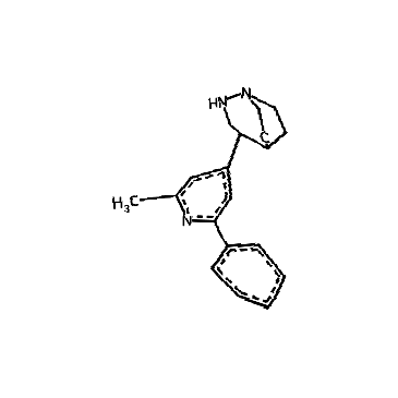 Cc1cc(C2CNN3CCC2CC3)cc(-c2ccccc2)n1